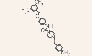 Cc1ccc(CCN2CCN(C(=O)Nc3ccc(OCc4cc(C(F)(F)F)cc(C(F)(F)F)c4)cc3)CC2)cc1